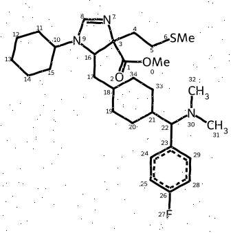 COC(=O)C1(CCSC)N=CN(C2CCCCC2)C1CC1CCC(C(c2ccc(F)cc2)N(C)C)CC1